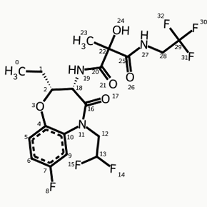 CC[C@H]1Oc2ccc(F)cc2N(CC(F)F)C(=O)[C@H]1NC(=O)C(C)(O)C(=O)NCC(F)(F)F